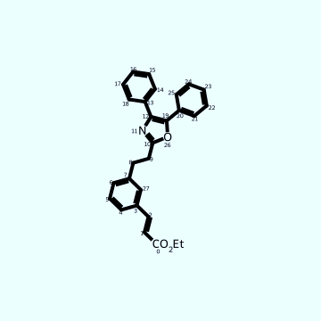 CCOC(=O)/C=C/c1cccc(CCc2nc(-c3ccccc3)c(-c3ccccc3)o2)c1